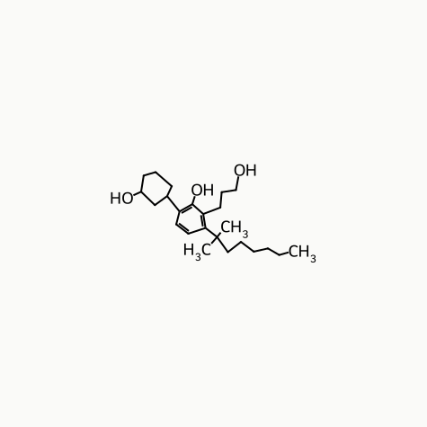 CCCCCCC(C)(C)c1ccc(C2CCCC(O)C2)c(O)c1CCCO